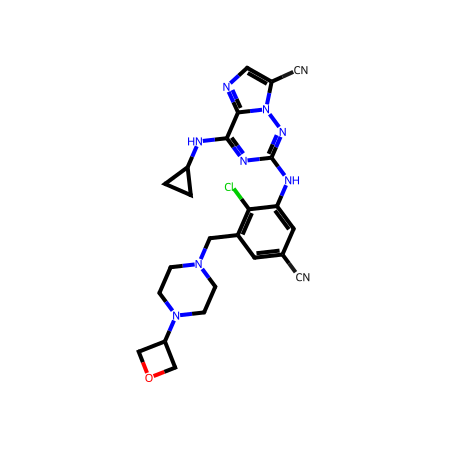 N#Cc1cc(CN2CCN(C3COC3)CC2)c(Cl)c(Nc2nc(NC3CC3)c3ncc(C#N)n3n2)c1